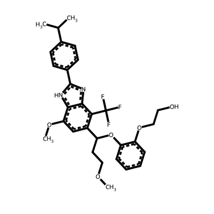 COCCC(Oc1ccccc1OCCO)c1cc(OC)c2[nH]c(-c3ccc(C(C)C)cc3)nc2c1C(F)(F)F